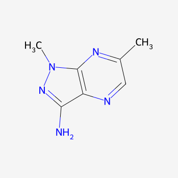 Cc1cnc2c(N)nn(C)c2n1